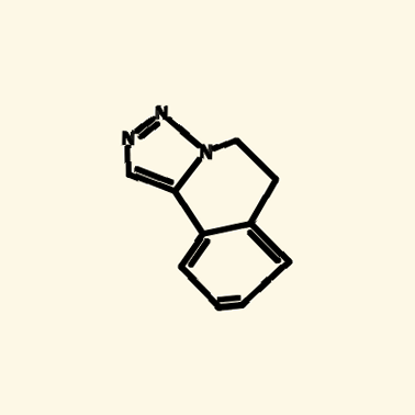 c1ccc2c(c1)CCn1nncc1-2